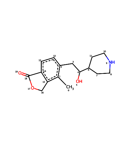 Cc1c(CC(O)C2CCNCC2)ccc2c1COC2=O